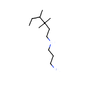 CCC(C)C(C)(C)CCNCCCN